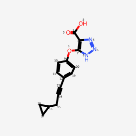 O=C(O)c1nn[nH]c1Oc1ccc(C#CCC2CC2)cc1